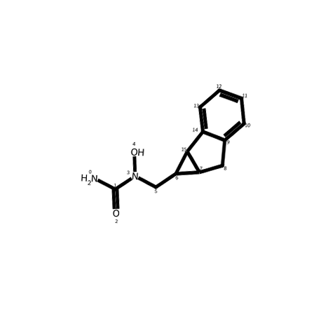 NC(=O)N(O)CC1C2Cc3ccccc3C21